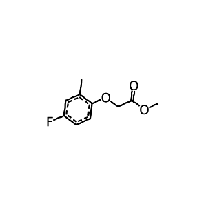 COC(=O)COc1ccc(F)cc1C